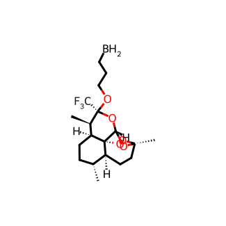 BCCCO[C@@]1(C(F)(F)F)O[C@@H]2O[C@]3(C)CC[C@H]4[C@H](C)CC[C@@H]([C@H]1C)[C@@]24OO3